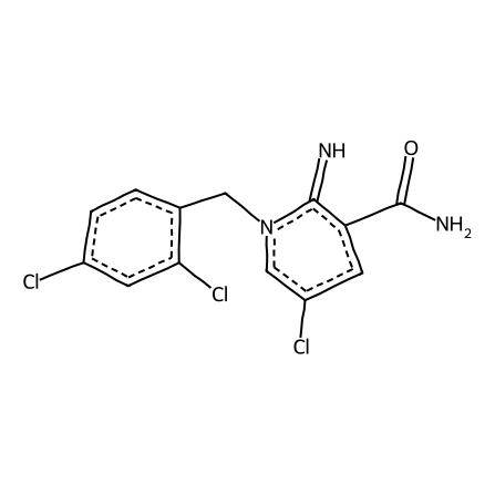 N=c1c(C(N)=O)cc(Cl)cn1Cc1ccc(Cl)cc1Cl